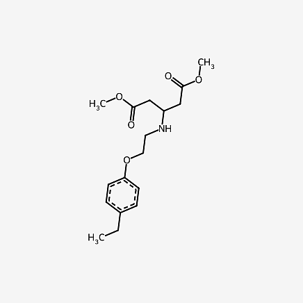 CCc1ccc(OCCNC(CC(=O)OC)CC(=O)OC)cc1